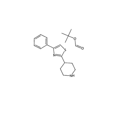 CC(C)(C)OC=O.c1ccc(-c2csc(C3CCNCC3)n2)cc1